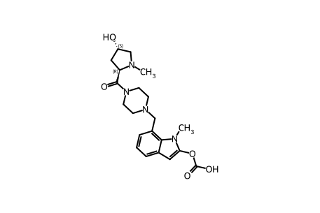 CN1C[C@@H](O)C[C@@H]1C(=O)N1CCN(Cc2cccc3cc(OC(=O)O)n(C)c23)CC1